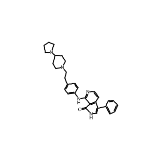 O=c1[nH]cc(-c2ccccc2)c2ccnc(Nc3ccc(CCN4CCC(N5CCCC5)CC4)cc3)c12